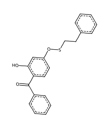 O=C(c1ccccc1)c1ccc(OSCCc2ccccc2)cc1O